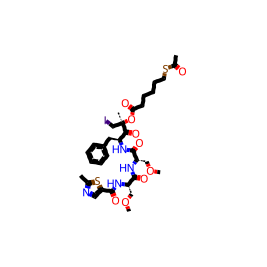 COC[C@H](NC(=O)c1cnc(C)s1)C(=O)N[C@@H](COC)C(=O)N[C@@H](Cc1ccccc1)C(=O)[C@@](C)(CI)OC(=O)CCCCCSC(C)=O